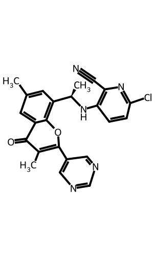 Cc1cc([C@@H](C)Nc2ccc(Cl)nc2C#N)c2oc(-c3cncnc3)c(C)c(=O)c2c1